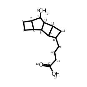 CC1C2CCC2C2C3C(CCCC(=O)O)CC3C12